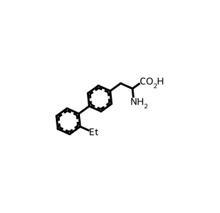 CCc1ccccc1-c1ccc(CC(N)C(=O)O)cc1